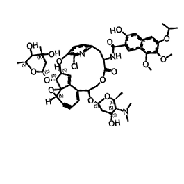 COc1c(OC(C)C)cc2cc(O)c(C(=O)NC3Cc4ccc(c(Cl)n4)O[C@H]4C=C5C(=CC#C[C@@H]6OC56[C@@H]4O[C@H]4C[C@@](C)(O)C(O)[C@H](C)O4)C(O[C@H]4C[C@H](O)[C@H](N(C)C)[C@H](C)O4)COC3=O)cc2c1OC